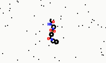 C=CC(=O)N[C@H]1CCCN(S(=O)(=O)c2ccc(C(=O)N3CCc4ccccc4C3)cc2)C1